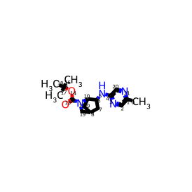 Cc1cnc(NC2CC3CC2N(C(=O)OC(C)(C)C)C3)cn1